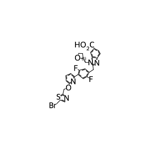 O=C(O)c1ccc2nc(Cc3cc(F)c(-c4cccc(OCc5ncc(Br)s5)n4)cc3F)n(C[C@@H]3CCO3)c2c1